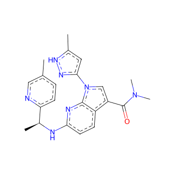 Cc1ccc([C@H](C)Nc2ccc3c(C(=O)N(C)C)cn(-c4cc(C)[nH]n4)c3n2)nc1